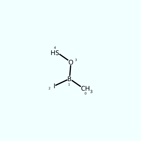 CB(I)OS